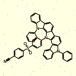 N#Cc1ccc(S(=O)(=O)c2ccc(-n3c4c(ccc5c4c4ccccc4n5-c4ccccc4)c4ccc5c6ccccc6n(-c6ccccc6)c5c43)cc2)cc1